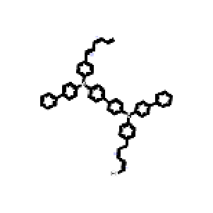 C=C/C=C\C=C\c1ccc(N(c2ccc(-c3ccccc3)cc2)c2ccc(-c3ccc(N(c4ccc(C/C=C\C=C/CC)cc4)c4ccc(-c5ccccc5)cc4)cc3)cc2)cc1